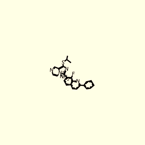 CC(C)SC1=C2C=NC=C[N+]2(N)C(c2ccc3ccc(-c4ccccc4)nc3c2F)=N1